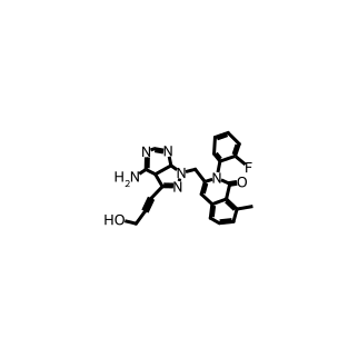 Cc1cccc2cc(CN3N=C(C#CCO)C4C(N)=NC=NC43)n(-c3ccccc3F)c(=O)c12